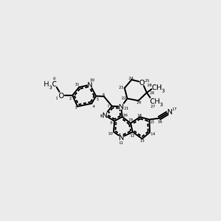 COc1ccc(Cc2nc3cnc4ccc(C#N)cc4c3n2C2CCOC(C)(C)C2)nc1